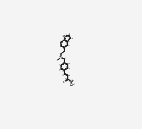 CN(CCc1ccc2[nH]ccc2c1)Cc1ccc(/C=C/C(=O)NO)cc1